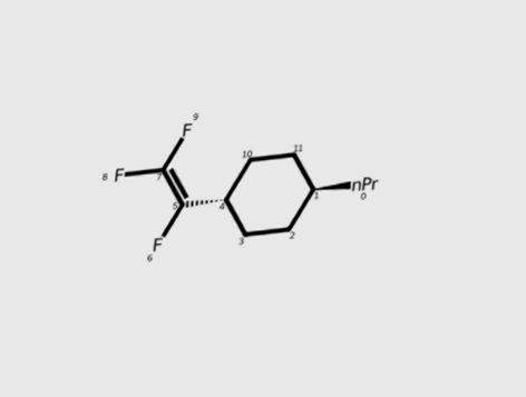 CCC[C@H]1CC[C@H](C(F)=C(F)F)CC1